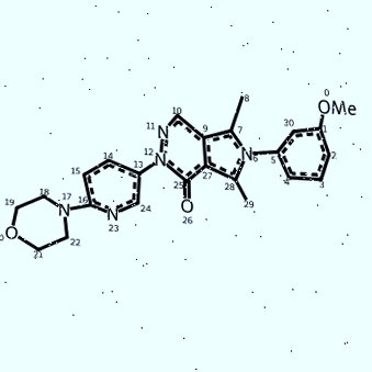 COc1cccc(-n2c(C)c3cnn(-c4ccc(N5CCOCC5)nc4)c(=O)c3c2C)c1